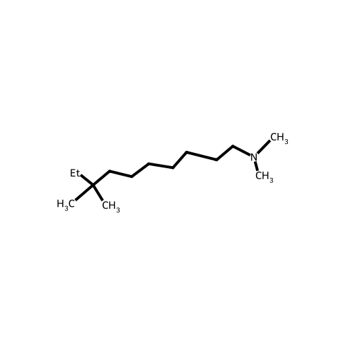 CCC(C)(C)CCCCCCCN(C)C